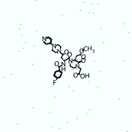 COC(=O)C[C@H]1C(=O)N(CC(=O)O)CCN1C(=O)C(CC(=O)N1CCN(c2ccncc2)CC1)NC(=O)c1ccc(F)cc1